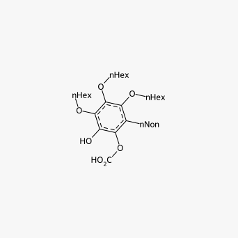 CCCCCCCCCc1c(OC(=O)O)c(O)c(OCCCCCC)c(OCCCCCC)c1OCCCCCC